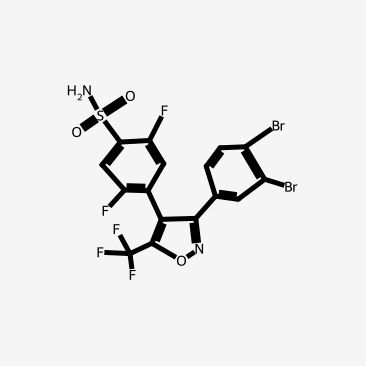 NS(=O)(=O)c1cc(F)c(-c2c(-c3ccc(Br)c(Br)c3)noc2C(F)(F)F)cc1F